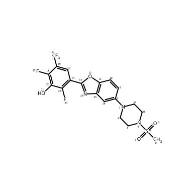 CS(=O)(=O)N1CCN(c2ccc3oc(-c4cc(C(F)(F)F)c(F)c(O)c4F)nc3c2)CC1